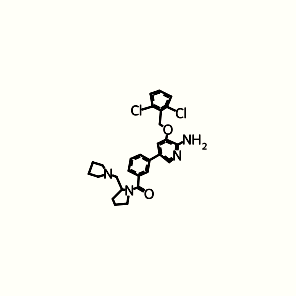 Nc1ncc(-c2cccc(C(=O)N3CCCC3CN3CCCC3)c2)cc1OCc1c(Cl)cccc1Cl